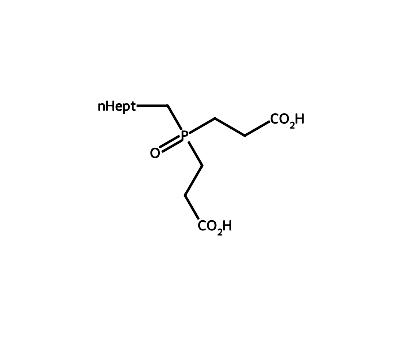 CCCCCCCCP(=O)(CCC(=O)O)CCC(=O)O